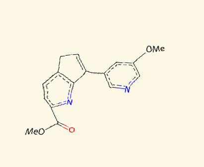 COC(=O)c1ccc2c(n1)C(c1cncc(OC)c1)=CC2